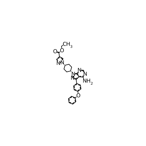 CCOC(=O)c1cnn([C@H]2CC[C@@H](n3nc(-c4ccc(Oc5ccccc5)cc4)c4c(N)ncnc43)CC2)c1